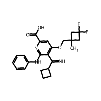 CC1(COc2cc(C(=O)O)nc(Nc3ccccc3)c2C(=N)C2CCC2)CC(F)(F)C1